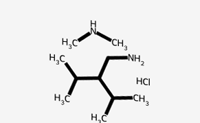 CC(C)C(CN)C(C)C.CNC.Cl